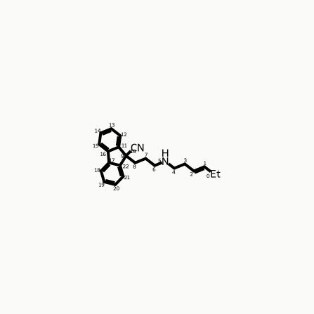 CCC=CCCNCCCC1(C#N)c2ccccc2-c2ccccc21